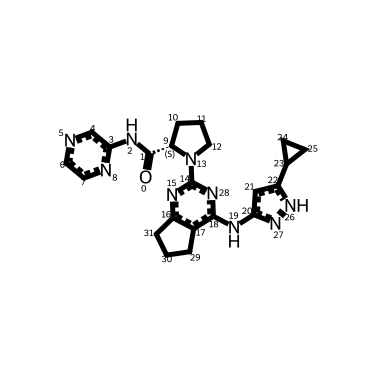 O=C(Nc1cnccn1)[C@@H]1CCCN1c1nc2c(c(Nc3cc(C4CC4)[nH]n3)n1)CCC2